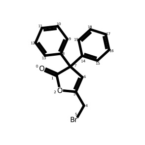 O=C1OC(CBr)=CC1(c1ccccc1)c1ccccc1